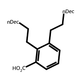 CCCCCCCCCCCCc1cccc(C(=O)O)c1CCCCCCCCCCCC